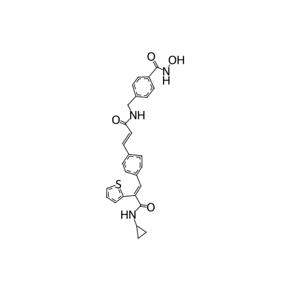 O=C(/C=C/c1ccc(/C=C(/C(=O)NC2CC2)c2cccs2)cc1)NCc1ccc(C(=O)NO)cc1